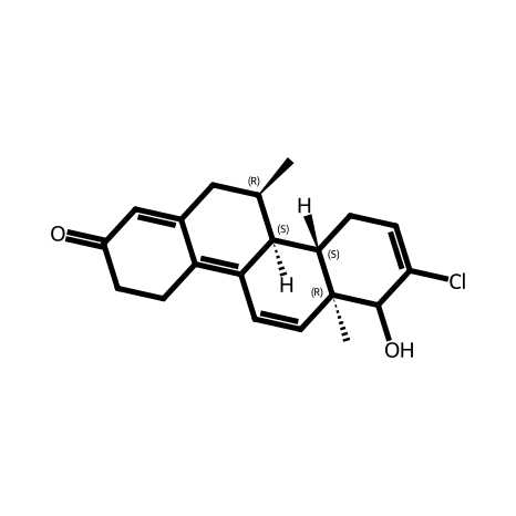 C[C@@H]1CC2=CC(=O)CCC2=C2C=C[C@]3(C)C(O)C(Cl)=CC[C@H]3[C@@H]21